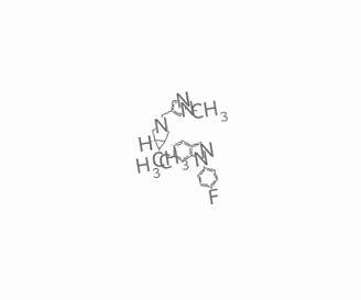 Cc1cc2c(cnn2-c2ccc(F)cc2)cc1[C@@]12CN(Cc3cnn(C)c3)C[C@@H]1[C@H]2C